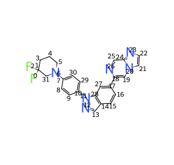 FC1(F)CCCN(c2ccc(-n3ncc4ccc(-c5cn6ccnc6cn5)cc43)cc2)C1